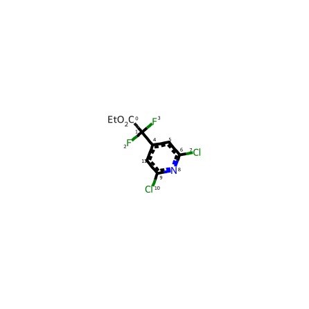 CCOC(=O)C(F)(F)c1cc(Cl)nc(Cl)c1